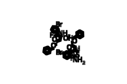 NC1=N[C@@]2(c3cc(Br)ccc3F)CO[C@@H](COCc3ccccc3)C[C@H]2CS1.N[C@@]1(c2cc(Br)ccc2F)CO[C@@H](COCc2ccccc2)C[C@H]1CO